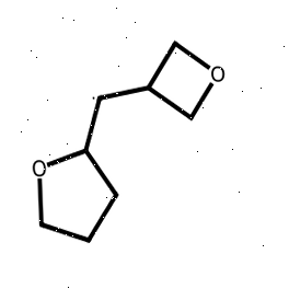 [CH](C1COC1)C1CCCO1